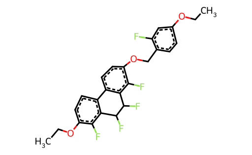 CCOc1ccc(COc2ccc3c(c2F)C(F)C(F)c2c-3ccc(OCC)c2F)c(F)c1